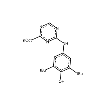 CCCCCCCCc1ncnc(Nc2cc(C(C)(C)C)c(O)c(C(C)(C)C)c2)n1